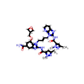 CCn1nc(C)cc1C(=O)Nc1nc2cccnc2n1CC=CCn1c(NC(=O)c2cc(C)nn2CC)nc2cc(C(N)=O)cc(OCC3COC3)c21